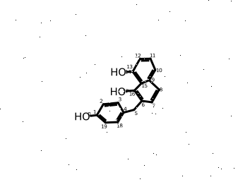 Oc1ccc(Cc2ccc3cccc(O)c3c2O)cc1